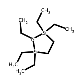 [CH2]CN1[Si](CC)(CC)CC[Si]1(CC)CC